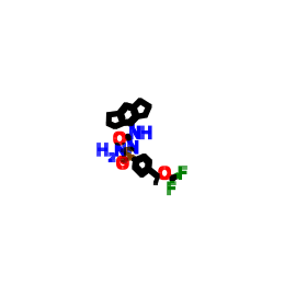 C[C@H](OC(F)F)c1ccc([S@](N)(=O)=NC(=O)Nc2c3c(cc4c2CCC4)CCC3)cc1